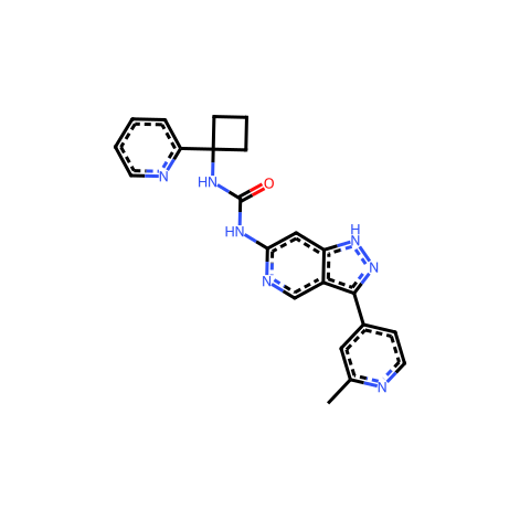 Cc1cc(-c2n[nH]c3cc(NC(=O)NC4(c5ccccn5)CCC4)ncc23)ccn1